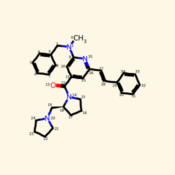 CN(Cc1ccccc1)c1cc(C(=O)N2CCC[C@H]2CN2CCCC2)cc(/C=C/c2ccccc2)n1